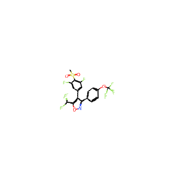 CS(=O)(=O)c1c(F)cc(-c2c(-c3ccc(OC(F)(F)F)cc3)noc2C(F)F)cc1F